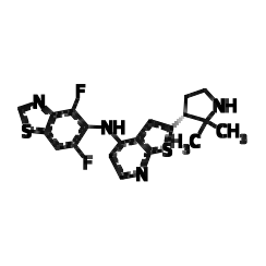 CC1(C)NCC[C@H]1c1cc2c(Nc3c(F)cc4scnc4c3F)ccnc2s1